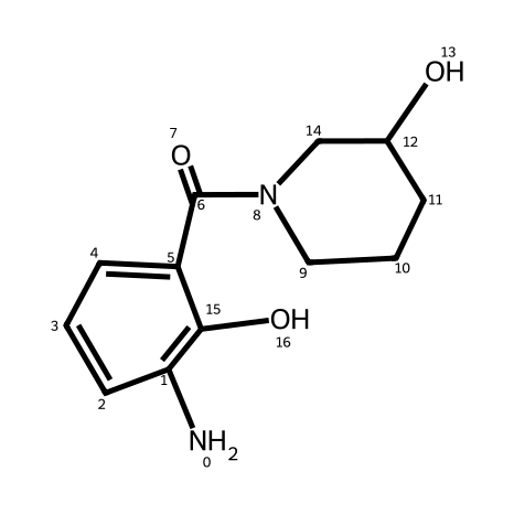 Nc1cccc(C(=O)N2CCCC(O)C2)c1O